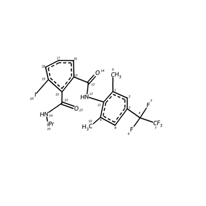 Cc1cc(C(F)(F)C(F)(F)F)cc(C)c1NC(=O)c1cccc(I)c1C(=O)NC(C)C